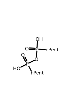 CCCCCP(=O)(O)OP(=O)(O)CCCCC